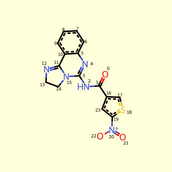 O=C(NC1=Nc2ccccc2C2=NCCN12)c1csc([N+](=O)[O-])c1